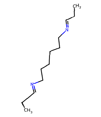 CCC=NCCCCCCN=CCC